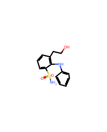 NS(=O)(=O)c1cccc(CCO)c1Nc1ccccc1